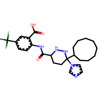 O=C(O)c1cc(C(F)(F)F)ccc1NC(=O)C1CCC(C2CCCCCCCC2)(n2ccnc2)NN1